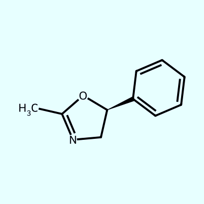 CC1=NC[C@H](c2ccccc2)O1